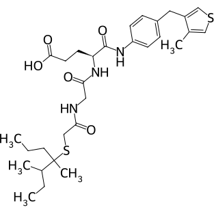 CCCC(C)(SCC(=O)NCC(=O)N[C@@H](CCC(=O)O)C(=O)Nc1ccc(Cc2cscc2C)cc1)C(C)CC